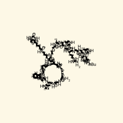 C=C[C@H]1NC(=O)[C@@H](Cc2c[nH]cn2)NC(=O)CNC(=O)[C@@H](N)CCCCn2cc(nn2)C(=C)[C@@H](C(=O)N[C@@H](CCCCNC(=O)CCCCC2SC[C@@H]3NC(=O)N[C@H]23)C(=O)NCCOCC(=O)N[C@@H](C)C(=O)N[C@H](Cc2c[nH]cn2)C(=O)NCC(=O)N[C@H](CCCNC(=N)N)C(=O)NCC(=O)N[C@H](Cc2c[nH]cn2)C(=O)N[C@@H](Cc2cn(CCCC)nn2)C(N)=O)NC(=O)[C@H]2CCCN2C(=O)[C@@H](Cc2c[nH]c3ccccc23)NC1=O